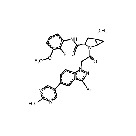 CC(=O)c1nn(CC(=O)N2C3C[C@]3(C)C[C@H]2C(=O)Nc2cccc(OC(F)(F)F)c2F)c2ccc(-c3cnc(C)nc3)cc12